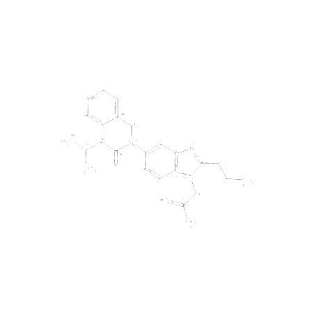 CCCc1nc2cc(N(Cc3ccccc3)C(=O)CC(C)C)ccc2n1CC(=O)O